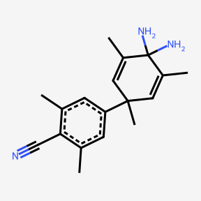 CC1=CC(C)(c2cc(C)c(C#N)c(C)c2)C=C(C)C1(N)N